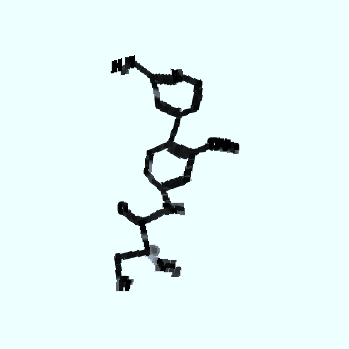 COc1cc(NC(=O)[C@H](N)CC(C)C)ccc1-c1ccnc(N)c1